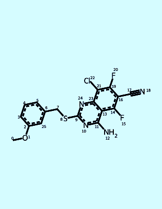 COc1cccc(CSc2nc(N)c3c(F)c(C#N)c(F)c(Cl)c3n2)c1